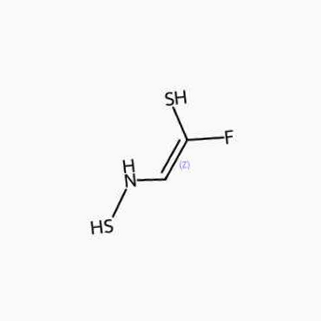 F/C(S)=C/NS